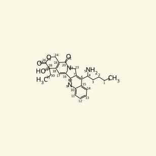 CCCCC(N)c1c2c(nc3ccccc13)-c1cc3c(c(=O)n1C2)COC(=O)[C@]3(O)CC